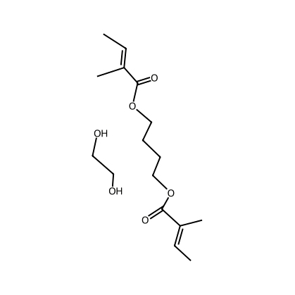 C/C=C(\C)C(=O)OCCCCOC(=O)/C(C)=C/C.OCCO